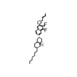 C/C=C/COc1cc2ccc([C@@H]3CC[C@@H]4CC(CCCCCCC)CCC4C3)cc2c(F)c1F